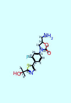 CC(C)(O)c1ncc(-c2ccc(N3CC(CN)OC3=O)cc2F)s1